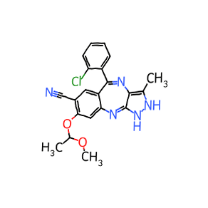 COC(C)Oc1cc2c(cc1C#N)C(c1ccccc1Cl)=NC1=C(C)NNC1=N2